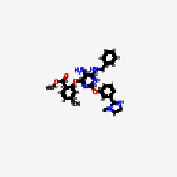 CN1CCN=C1c1cccc(Oc2nc(NCc3ccccc3)c(N)c(Oc3cc(C#N)ccc3C(=O)OC(C)(C)C)n2)c1